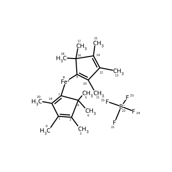 CC1=C(C)C(C)(C)[C]([Fe+][C]2=C(C)C(C)=C(C)C2(C)C)=C1C.F[B-](F)(F)F